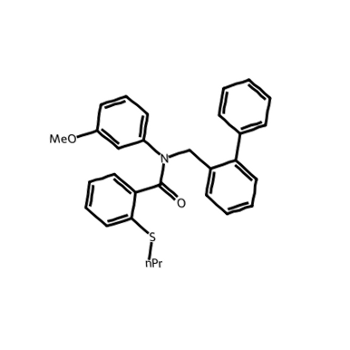 CCCSc1ccccc1C(=O)N(Cc1ccccc1-c1ccccc1)c1cccc(OC)c1